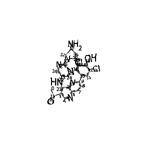 CC(=O)c1cnc2ccc(-c3cc(Cl)c(O)c(Cl)c3)nc2c1Nc1cnc(N2CCC(N)C2)nc1